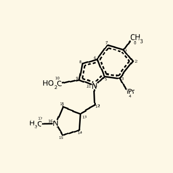 Cc1cc(C(C)C)c2c(c1)cc(C(=O)O)n2CC1CCN(C)C1